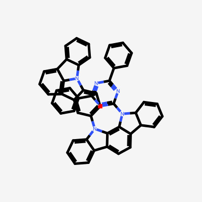 C1=CC2c3ccc4c5ccccc5n(-c5ccc6c(c5)c5cccc7c8ccccc8n6c75)c4c3N(c3nc(-c4ccccc4)nc(-c4ccccc4)n3)C2C=C1